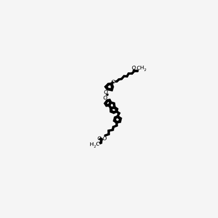 C=CC(=O)CCCCCCCOc1ccc(OCOc2ccc3c(c2)Cc2cc(Cc4ccc(CCCCCCOC(=O)C=C)cc4)ccc2-3)cc1